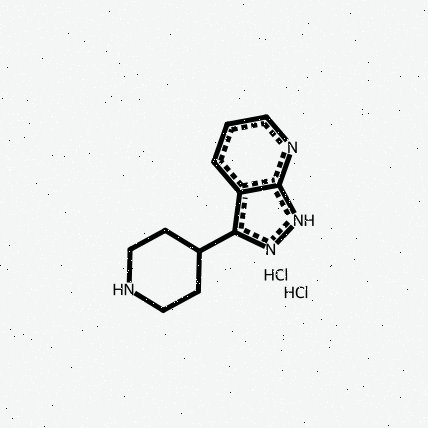 Cl.Cl.c1cnc2[nH]nc(C3CCNCC3)c2c1